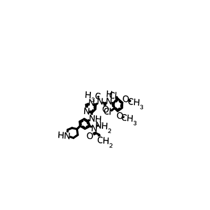 C=CC(=O)N(N)c1cc(C2CCNCC2)ccc1Nc1cc(N(C)C(=O)Nc2c(Cl)c(OC)cc(OC)c2Cl)ncn1